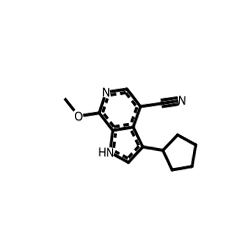 COc1ncc(C#N)c2c(C3CCCC3)c[nH]c12